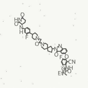 CCN(C)S(=O)(=O)Nc1ccc(F)c(Oc2ccc3ncn(C4CCC5(CCN(C(=O)CN6CCC(c7ccc(NC8CCC(=O)NC8=O)cc7F)CC6)CC5)C4)c(=O)c3c2)c1C#N